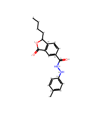 CCCCC1OC(=O)c2cc(C(=O)NNc3ccc(C)cc3)ccc21